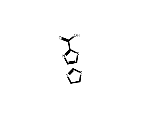 C1=NCCS1.O=C(O)c1nccs1